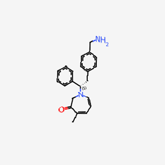 CC1=CC=CN([C@@H](Cc2ccc(CN)cc2)c2ccccc2)CC1=O